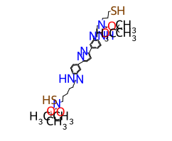 CC(C)(C)OC(=O)N(S)CCCCCc1nc2cc(-c3ccc(-c4ccc5[nH]c(CN(CCCS)C(=O)OC(C)(C)C)nc5c4)nn3)ccc2[nH]1